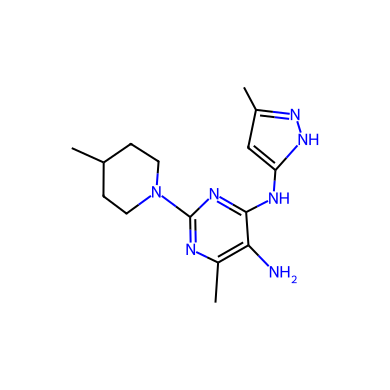 Cc1cc(Nc2nc(N3CCC(C)CC3)nc(C)c2N)[nH]n1